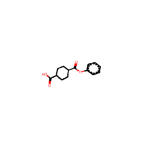 O=C(O)C1CCC(C(=O)Oc2ccccc2)CC1